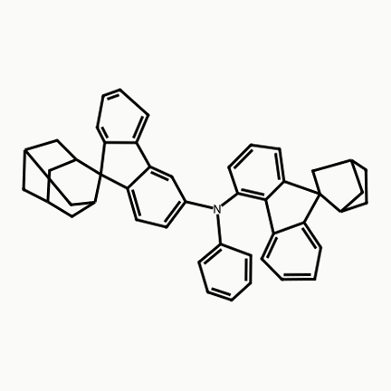 c1ccc(N(c2ccc3c(c2)-c2ccccc2C32C3CC4CC(C3)CC2C4)c2cccc3c2-c2ccccc2C32CC3CCC2C3)cc1